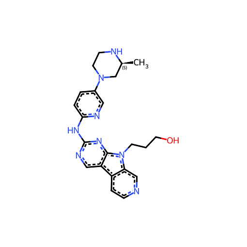 C[C@H]1CN(c2ccc(Nc3ncc4c5ccncc5n(CCCO)c4n3)nc2)CCN1